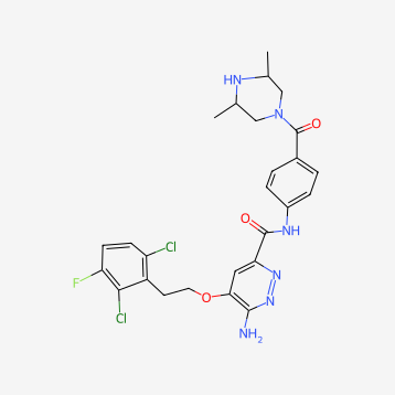 CC1CN(C(=O)c2ccc(NC(=O)c3cc(OCCc4c(Cl)ccc(F)c4Cl)c(N)nn3)cc2)CC(C)N1